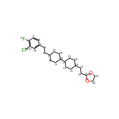 Fc1ccc(CCC2CCC(C3CCC(CCC4OCCO4)CC3)CC2)cc1Cl